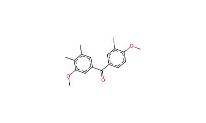 COc1ccc(C(=O)c2cc(C)c(C)c(OC)c2)cc1I